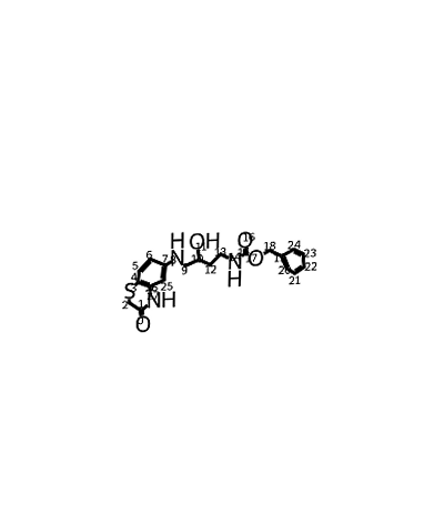 O=C1CSc2ccc(NCC(O)CCNC(=O)OCc3ccccc3)cc2N1